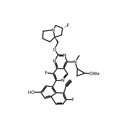 C#Cc1c(F)ccc2cc(O)cc(-c3ncc4c(N(C)C5CC5OC)nc(OC[C@@]56CCCN5C[C@H](F)C6)nc4c3F)c12